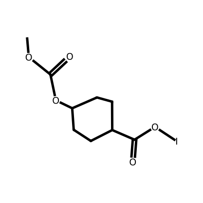 COC(=O)OC1CCC(C(=O)OI)CC1